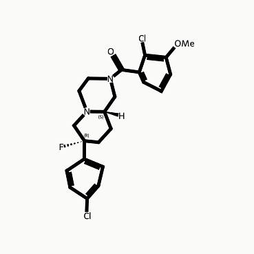 COc1cccc(C(=O)N2CCN3C[C@](F)(c4ccc(Cl)cc4)CC[C@H]3C2)c1Cl